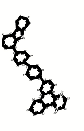 c1ccc2c(c1)sc1c(-c3ccc(-c4ccc(-c5ccc6c(c5)c5ccccc5c5nccnc65)cc4)cc3)cccc12